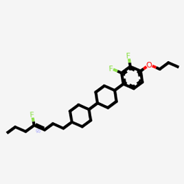 CCCOc1ccc(C2CCC(C3CCC(CC/C=C(\F)CCC)CC3)CC2)c(F)c1F